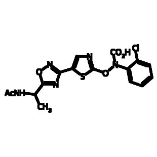 CC(=O)NC(C)c1nc(-c2cnc(ON(C(=O)O)c3ccccc3Cl)s2)no1